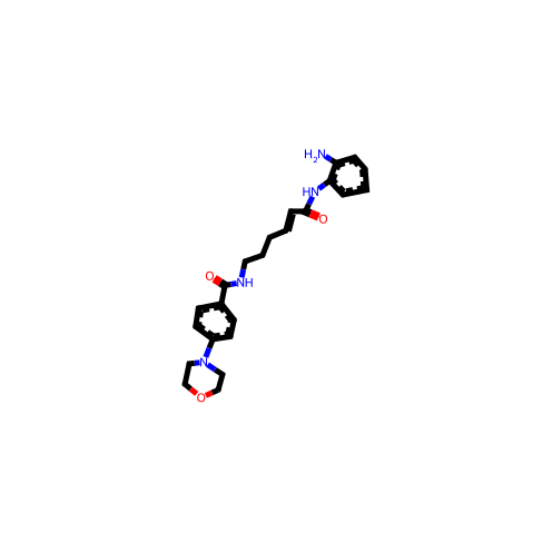 Nc1ccccc1NC(=O)C=CCCCNC(=O)c1ccc(N2CCOCC2)cc1